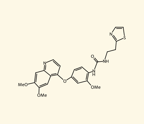 COc1cc(Oc2ccnc3cc(OC)c(OC)cc23)ccc1NC(=O)NCCc1nccs1